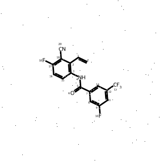 C=Cc1c(NC(=O)c2cc(F)cc(C(F)(F)F)c2)ccc(F)c1C#N